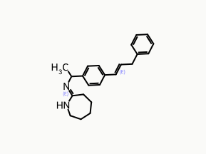 CC(/N=C1\CCCCCN1)c1ccc(/C=C/Cc2ccccc2)cc1